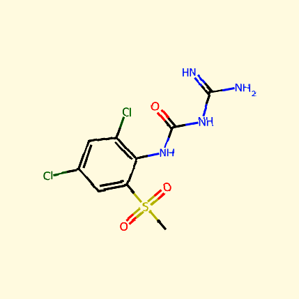 CS(=O)(=O)c1cc(Cl)cc(Cl)c1NC(=O)NC(=N)N